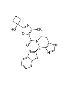 O=C(c1oc(C2(O)CCC2)nc1C(F)(F)F)N1CCc2[nH]cnc2[C@H]1c1nc2ccccc2s1